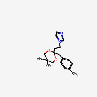 CCCC1(CCC)COC(CCn2ccnc2)(Cc2ccc(C)cc2)OC1